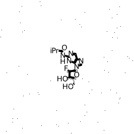 CC(C)C(=O)Nc1ncc2ncn([C@@H]3O[C@H](CO)[C@@H](O)[C@H]3F)c2n1